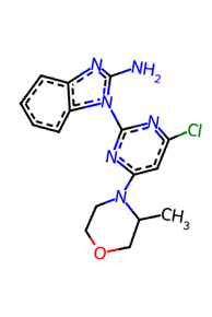 CC1COCCN1c1cc(Cl)nc(-n2c(N)nc3ccccc32)n1